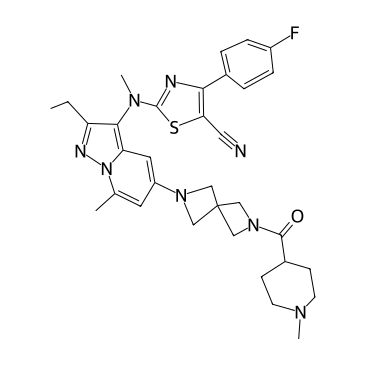 CCc1nn2c(C)cc(N3CC4(CN(C(=O)C5CCN(C)CC5)C4)C3)cc2c1N(C)c1nc(-c2ccc(F)cc2)c(C#N)s1